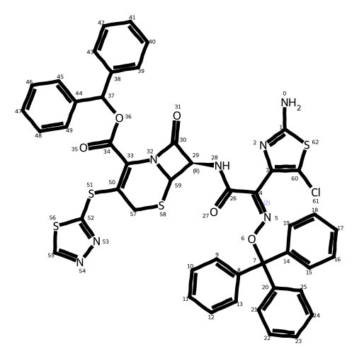 Nc1nc(/C(=N/OC(c2ccccc2)(c2ccccc2)c2ccccc2)C(=O)N[C@@H]2C(=O)N3C(C(=O)OC(c4ccccc4)c4ccccc4)=C(Sc4nncs4)CSC23)c(Cl)s1